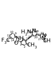 Cc1ccc(C(=O)Nc2cccc(C(F)(F)F)c2)cc1C#Cc1cc(-c2cnn(C)c2)cnc1N